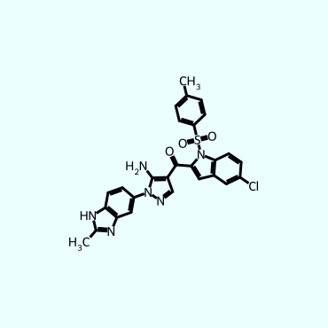 Cc1ccc(S(=O)(=O)n2c(C(=O)c3cnn(-c4ccc5[nH]c(C)nc5c4)c3N)cc3cc(Cl)ccc32)cc1